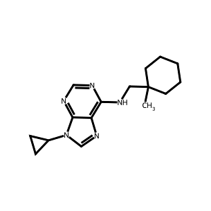 CC1(CNc2ncnc3c2ncn3C2CC2)CCCCC1